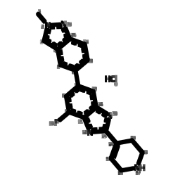 Cl.Cn1cc2cc(-c3cc(F)c4nc(C5=CCNCC5)sc4c3)ccc2n1